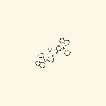 C=c1ccc(N(c2ccccc2)c2cccc3ccccc23)c/c1=C/C=C1\C=CC=C(N(c2ccccc2)c2cccc3ccccc23)C1